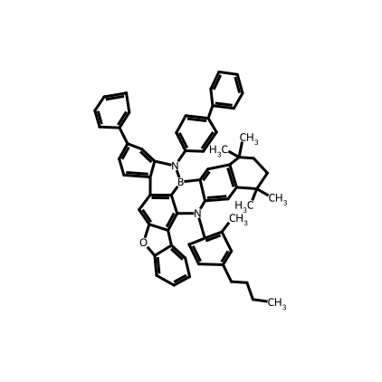 CCCCc1ccc(N2c3cc4c(cc3B3c5c(cc6oc7ccccc7c6c52)-c2ccc(-c5ccccc5)cc2N3c2ccc(-c3ccccc3)cc2)C(C)(C)CCC4(C)C)c(C)c1